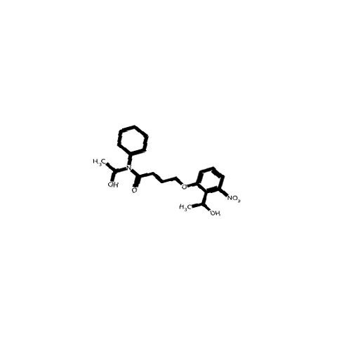 CC(O)c1c(OCCCC(=O)N(C(C)O)C2CCCCC2)cccc1[N+](=O)[O-]